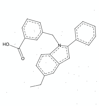 CCc1ccc2c(c1)cc(-c1ccccc1)n2Cc1cccc(C(=O)O)c1